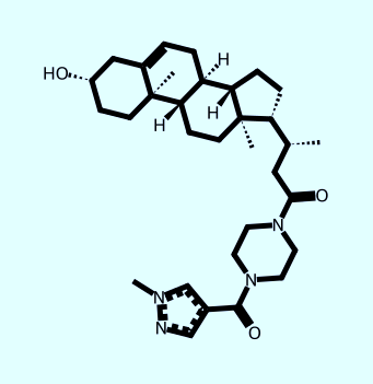 C[C@H](CC(=O)N1CCN(C(=O)c2cnn(C)c2)CC1)[C@H]1CC[C@H]2[C@@H]3CC=C4C[C@@H](O)CC[C@]4(C)[C@H]3CC[C@]12C